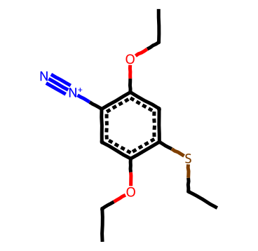 CCOc1cc(SCC)c(OCC)cc1[N+]#N